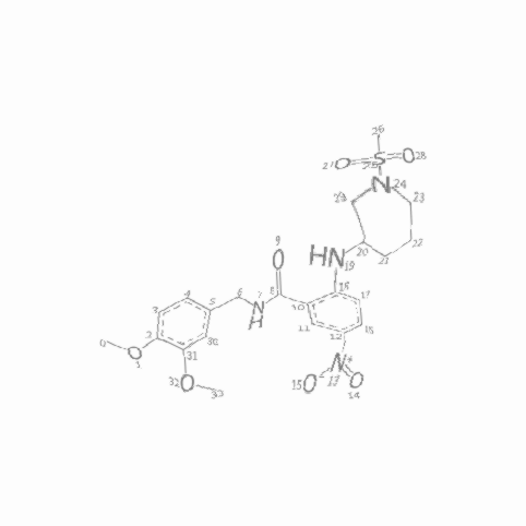 COc1ccc(CNC(=O)c2cc([N+](=O)[O-])ccc2NC2CCCN(S(C)(=O)=O)C2)cc1OC